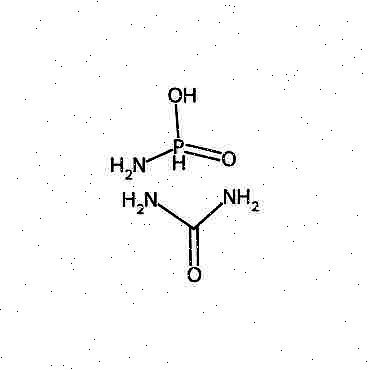 NC(N)=O.N[PH](=O)O